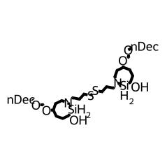 CCCCCCCCCCOCOC1CCC(O)[SiH2]N(CCCSSCCCN2CCC(OCOCCCCCCCCCC)CCC(O)[SiH2]2)CC1